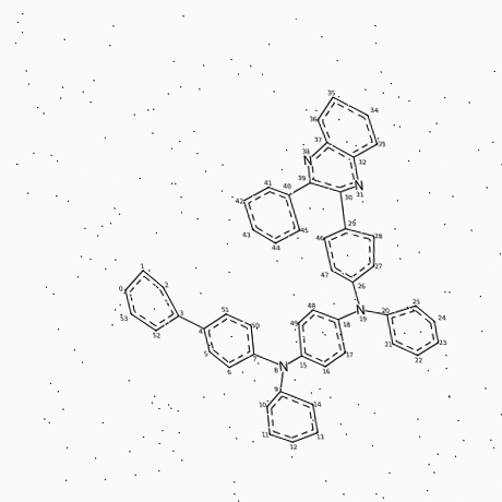 c1ccc(-c2ccc(N(c3ccccc3)c3ccc(N(c4ccccc4)c4ccc(-c5nc6ccccc6nc5-c5ccccc5)cc4)cc3)cc2)cc1